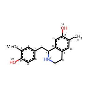 COc1cc(CC2NCCc3cc(C)c(O)cc32)ccc1O